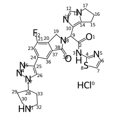 Cl.O=C(Nc1nccs1)C(c1ncn2c1CCC2)N1Cc2c(F)cc(-c3cn(C4CCNCC4)nn3)cc2C1=O